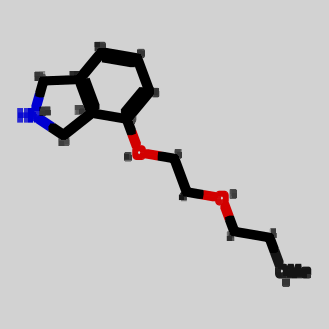 COCCOCCOc1cccc2c1CNC2